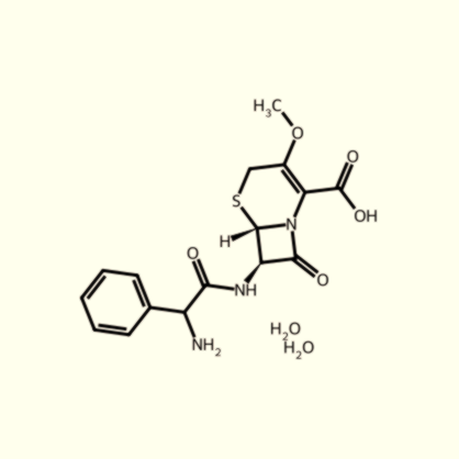 COC1=C(C(=O)O)N2C(=O)[C@@H](NC(=O)C(N)c3ccccc3)[C@@H]2SC1.O.O